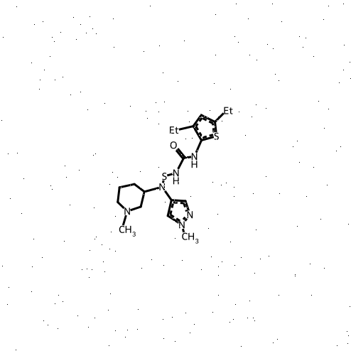 CCc1cc(CC)c(NC(=O)NSN(c2cnn(C)c2)C2CCCN(C)C2)s1